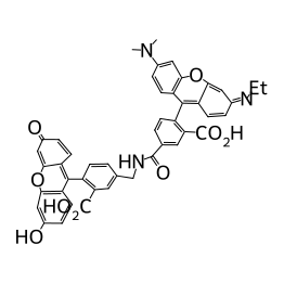 CC/N=c1/ccc2c(-c3ccc(C(=O)NCc4ccc(-c5c6ccc(=O)cc-6oc6cc(O)ccc56)c(C(=O)O)c4)cc3C(=O)O)c3ccc(N(C)C)cc3oc-2c1